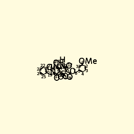 COc1cccc(COC(=O)C2C(=O)Nc3c(c(=O)n(Cc4ccccc4)c(=O)n3C)S2(=O)=O)c1